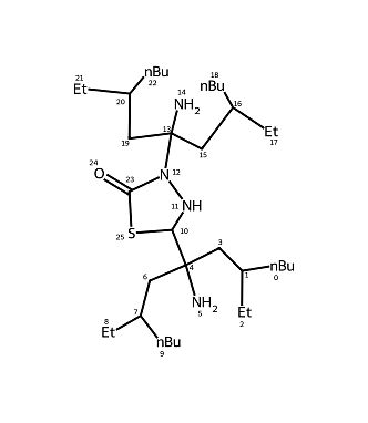 CCCCC(CC)CC(N)(CC(CC)CCCC)C1NN(C(N)(CC(CC)CCCC)CC(CC)CCCC)C(=O)S1